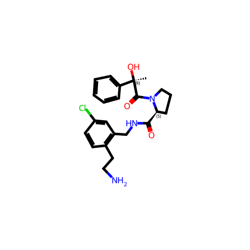 C[C@](O)(C(=O)N1CCC[C@H]1C(=O)NCc1cc(Cl)ccc1CCN)c1ccccc1